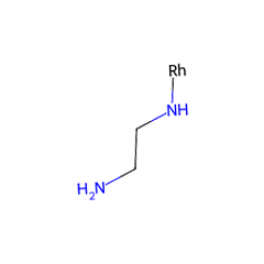 NCC[NH][Rh]